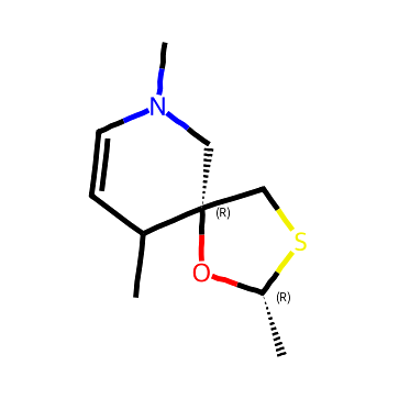 CC1C=CN(C)C[C@@]12CS[C@H](C)O2